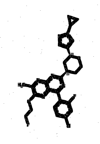 Cc1nc2nc([C@H]3CCO[C@@H](c4cnn(C5CC5)c4)C3)nc(-c3ccc(Cl)cc3F)c2nc1OCCF